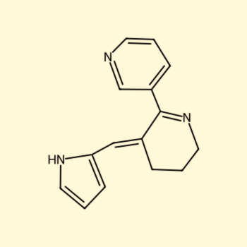 C(=C1/CCCN=C1c1cccnc1)/c1ccc[nH]1